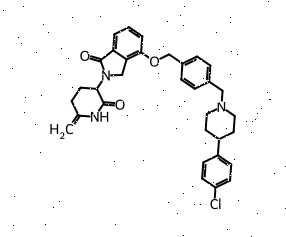 C=C1CCC(N2Cc3c(OCc4ccc(CN5CCC(c6ccc(Cl)cc6)CC5)cc4)cccc3C2=O)C(=O)N1